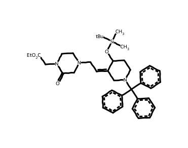 CCOC(=O)CN1CCN(CC=C2CN(C(c3ccccc3)(c3ccccc3)c3ccccc3)CCC2O[Si](C)(C)C(C)(C)C)CC1=O